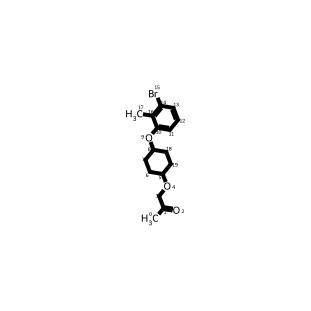 CC(=O)COC1CCC(Oc2cccc(Br)c2C)CC1